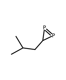 CC(C)CC1P=P1